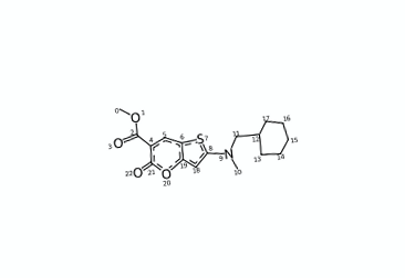 COC(=O)c1cc2sc(N(C)CC3CCCCC3)cc2oc1=O